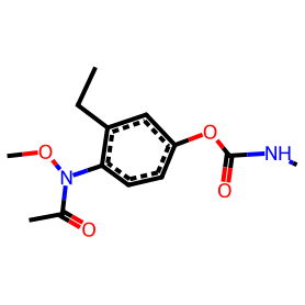 CCc1cc(OC(=O)NC)ccc1N(OC)C(C)=O